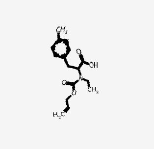 C=CCOC(=O)N(CC)C(Cc1ccc(C)cc1)C(=O)O